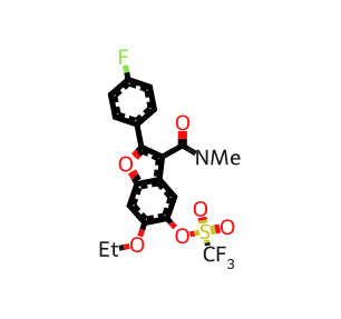 CCOc1cc2oc(-c3ccc(F)cc3)c(C(=O)NC)c2cc1OS(=O)(=O)C(F)(F)F